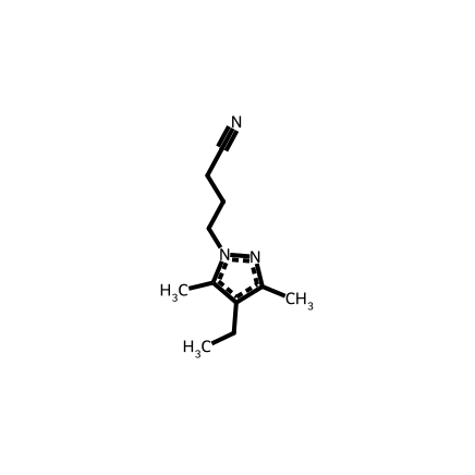 CCc1c(C)nn(CCCC#N)c1C